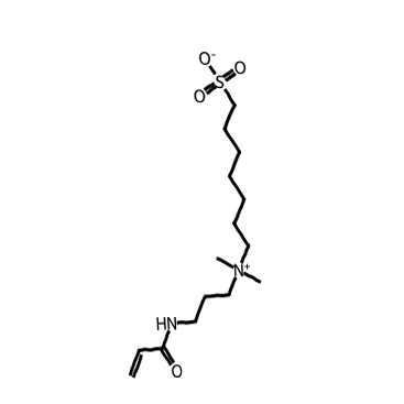 C=CC(=O)NCCC[N+](C)(C)CCCCCCCS(=O)(=O)[O-]